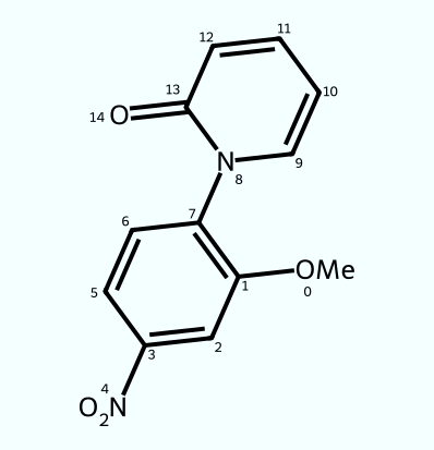 COc1cc([N+](=O)[O-])ccc1-n1ccccc1=O